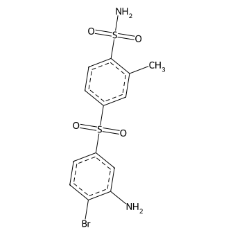 Cc1cc(S(=O)(=O)c2ccc(Br)c(N)c2)ccc1S(N)(=O)=O